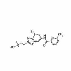 CC(C)(O)CCn1cc2cc(NC(=O)c3cccc(C(F)(F)F)n3)cc(Br)c2n1